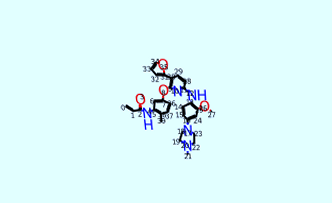 C=CC(=O)Nc1cc(Oc2nc(Nc3ccc(N4CCN(C)CC4)cc3OC)ccc2-c2ccco2)ccc1C